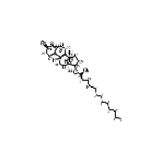 CCCCCCCCCCCCC(=O)OC1CC[C@H]2[C@@H]3CCC4=CC(=O)CC[C@]4(C)[C@H]3CC[C@]12C